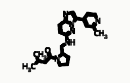 Cc1cc(-c2cnc3ccc(NCC4CCCN4C(=O)CC(C)C)nn23)ccn1